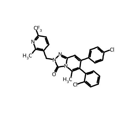 Cc1nc(C(F)(F)F)ccc1Cn1nc2cc(-c3ccc(Cl)cc3)c(-c3ccccc3Cl)c(C)n2c1=O